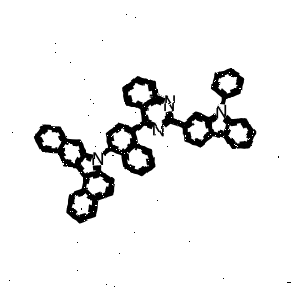 c1ccc(-n2c3ccccc3c3ccc(-c4nc(-c5ccc(-n6c7cc8ccccc8cc7c7c8ccccc8ccc76)c6ccccc56)c5ccccc5n4)cc32)cc1